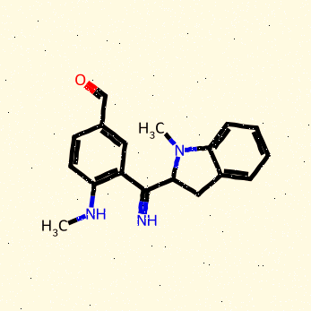 CNc1ccc(C=O)cc1C(=N)C1Cc2ccccc2N1C